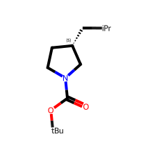 CC(C)C[C@H]1CCN(C(=O)OC(C)(C)C)C1